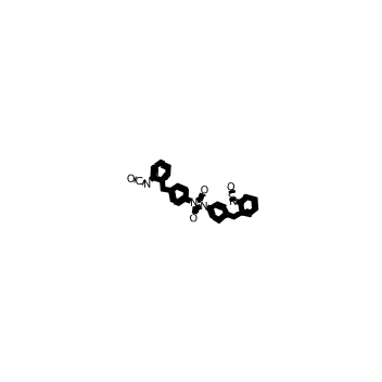 O=C=Nc1ccccc1Cc1ccc(N2C(=O)N(c3ccc(Cc4ccccc4N=C=O)cc3)C2=O)cc1